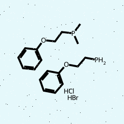 Br.CP(C)CCOc1ccccc1.Cl.PCCOc1ccccc1